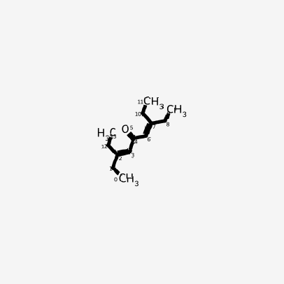 CCC(=CC(=O)C=C(CC)CC)CC